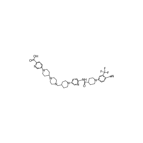 N#Cc1ccc(N2CCC(C(=O)Nc3ccc(N4CCC(CN5CCN(C6CCN(c7ccc(C(=O)O)nc7)CC6)CC5)CC4)cn3)CC2)cc1C(F)(F)F